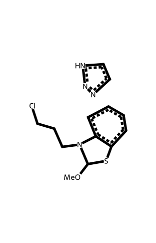 COC1Sc2ccccc2N1CCCCl.c1c[nH]nn1